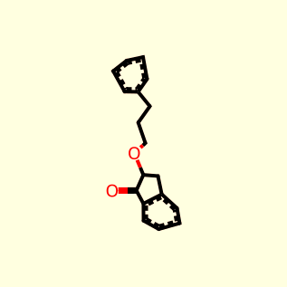 O=C1c2ccccc2CC1OCCCc1ccccc1